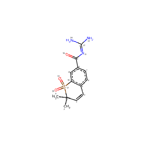 CC1(C)C=Cc2ccc(C(=O)N=C(N)N)cc2S1(=O)=O